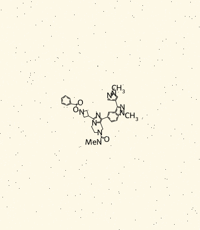 CNC(=O)N1CCn2c(C3CN(OC(=O)c4ccccc4)C3)nc(-c3ccc4c(c3)c(-c3cnn(C)c3)nn4C)c2C1